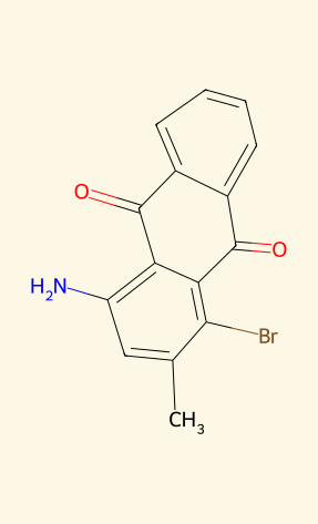 Cc1cc(N)c2c(c1Br)C(=O)c1ccccc1C2=O